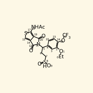 CCOc1cc(C(CC[SH](=O)=O)N2C(=O)c3csc(NC(C)=O)c3C2=O)ccc1OC(F)(F)F